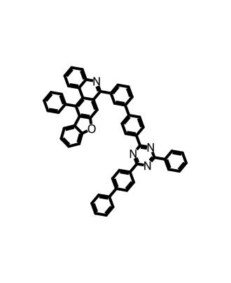 c1ccc(-c2ccc(-c3nc(-c4ccccc4)nc(-c4ccc(-c5cccc(-c6nc7ccccc7c7c(-c8ccccc8)c8c(cc67)oc6ccccc68)c5)cc4)n3)cc2)cc1